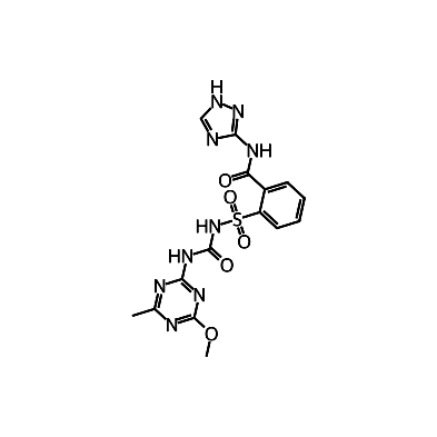 COc1nc(C)nc(NC(=O)NS(=O)(=O)c2ccccc2C(=O)Nc2nc[nH]n2)n1